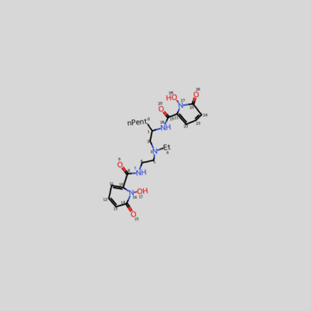 CCCCCC(CN(CC)CCNC(=O)c1cccc(=O)n1O)NC(=O)c1cccc(=O)n1O